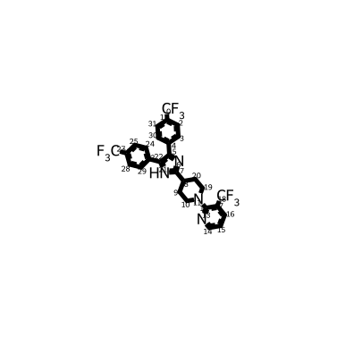 FC(F)(F)c1ccc(-c2nc(C3CCN(c4ncccc4C(F)(F)F)CC3)[nH]c2-c2ccc(C(F)(F)F)cc2)cc1